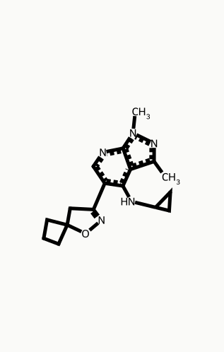 Cc1nn(C)c2ncc(C3=NOC4(CCC4)C3)c(NC3CC3)c12